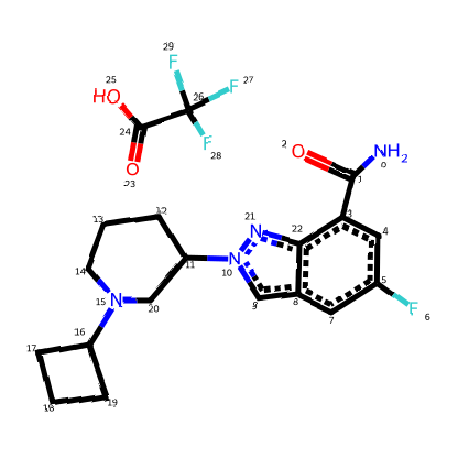 NC(=O)c1cc(F)cc2cn(C3CCCN(C4CCC4)C3)nc12.O=C(O)C(F)(F)F